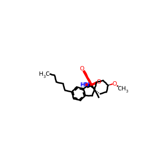 CCCCCc1ccc2c(c1)C1(NC(=O)NC1=O)[C@]1(CC[C@H](OC)CC1)C2